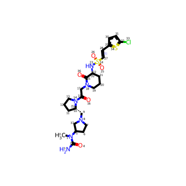 CN(C(N)=O)C1CCN(C[C@@H]2CCCN2C(=O)CN2CCC[C@H](NS(=O)(=O)/C=C/c3ccc(Cl)s3)C2=O)C1